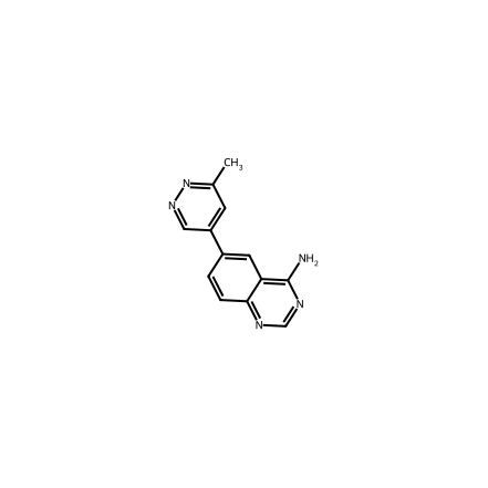 Cc1cc(-c2ccc3ncnc(N)c3c2)cnn1